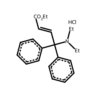 CCOC(=O)C=CC(c1ccccc1)(c1ccccc1)N(CC)CC.Cl